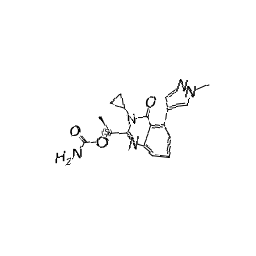 C[C@H](OC(N)=O)c1nc2cccc(-c3cnn(C)c3)c2c(=O)n1C1CC1